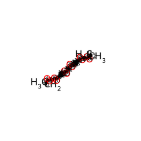 C=C(C)C(=O)OCCOC(=O)/C=C/c1ccc(OC(=O)C2CC(C(=O)Oc3ccc(/C=C/C(=O)OCCOC(=O)C(=C)C)cc3)C2)cc1